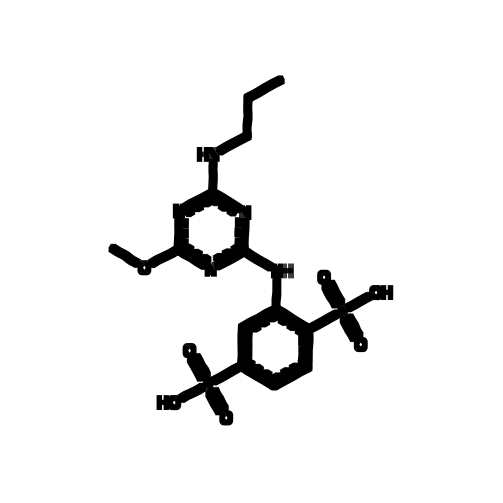 CCCNc1nc(Nc2cc(S(=O)(=O)O)ccc2S(=O)(=O)O)nc(OC)n1